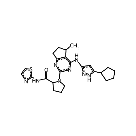 CC1CCc2nc(N3CCCC3C(=O)Nc3nccs3)nc(Nc3cc(C4CCCC4)[nH]n3)c21